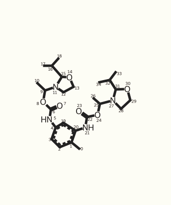 Cc1ccc(NC(=O)OC(C)N2CCOC2C(C)C)cc1NC(=O)OC(C)N1CCOC1C(C)C